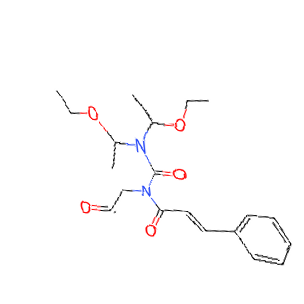 CCOC(C)N(C(=O)N(C[C]=O)C(=O)/C=C/c1ccccc1)C(C)OCC